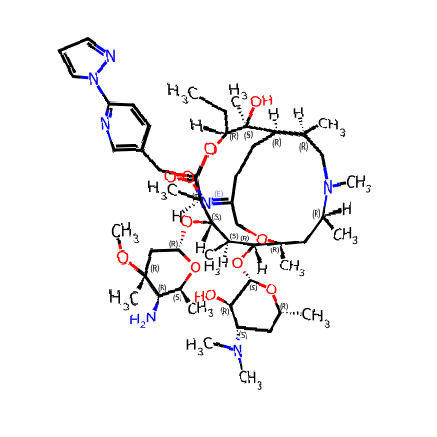 CC[C@H]1OC(=O)[C@H](C)[C@@H](O[C@H]2C[C@@](C)(OC)[C@H](N)[C@H](C)O2)[C@H](C)[C@@H](O[C@@H]2O[C@H](C)C[C@H](N(C)C)[C@H]2O)[C@@]2(C)C[C@@H](C)N(C)C[C@H](C)[C@@H](CC/C(=N\OCc3ccc(-n4cccn4)nc3)CO2)[C@]1(C)O